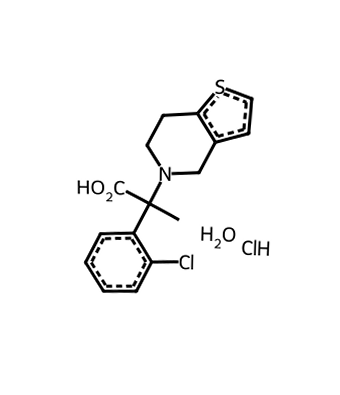 CC(C(=O)O)(c1ccccc1Cl)N1CCc2sccc2C1.Cl.O